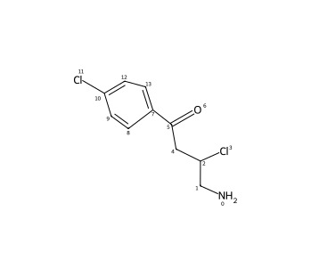 NCC(Cl)CC(=O)c1ccc(Cl)cc1